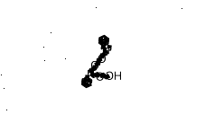 CCN(CCOCCOCCN(CCOCCO)Cc1ccccc1)Cc1ccccc1